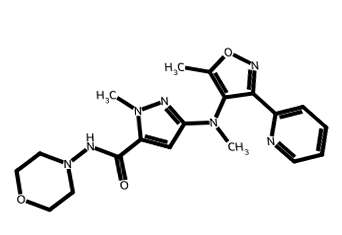 Cc1onc(-c2ccccn2)c1N(C)c1cc(C(=O)NN2CCOCC2)n(C)n1